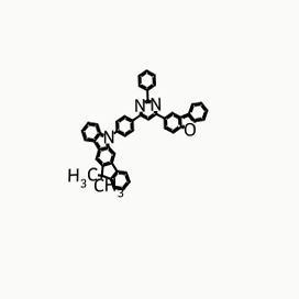 CC1(C)c2ccccc2-c2cc3c(cc21)c1ccccc1n3-c1ccc(-c2cc(-c3ccc4oc5ccccc5c4c3)nc(-c3ccccc3)n2)cc1